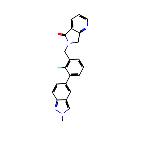 Cn1cc2cc(-c3cccc(CN4Cc5ncccc5C4=O)c3F)ccc2n1